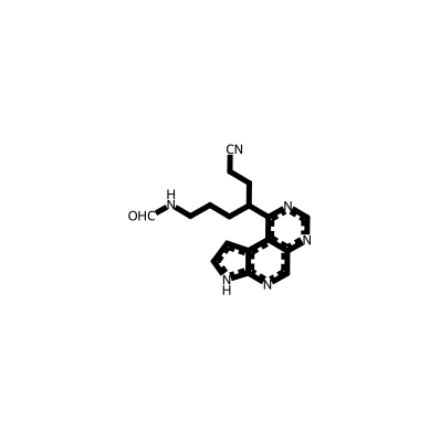 N#CCCC(CCCNC=O)c1ncnc2cnc3[nH]ccc3c12